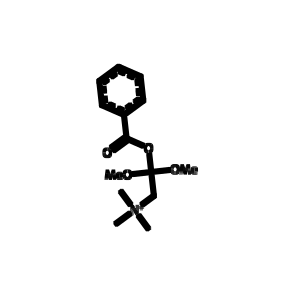 COC(C[N+](C)(C)C)(OC)OC(=O)c1ccccc1